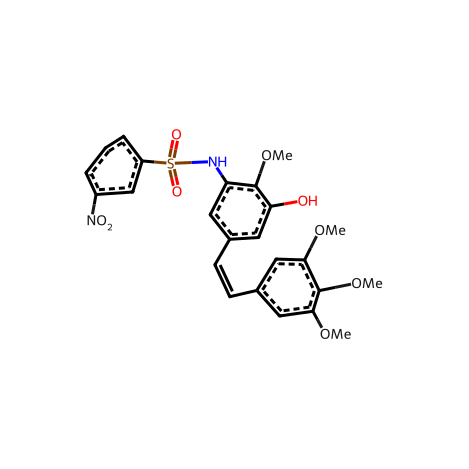 COc1cc(/C=C\c2cc(O)c(OC)c(NS(=O)(=O)c3cccc([N+](=O)[O-])c3)c2)cc(OC)c1OC